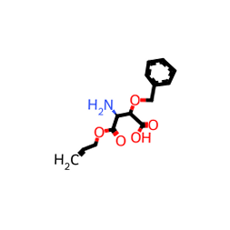 C=CCOC(=O)[C@@H](N)C(OCc1ccccc1)C(=O)O